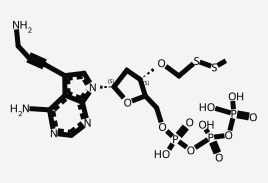 CSSCO[C@H]1C[C@@H](n2cc(C#CCN)c3c(N)ncnc32)OC1COP(=O)(O)OP(=O)(O)OP(=O)(O)O